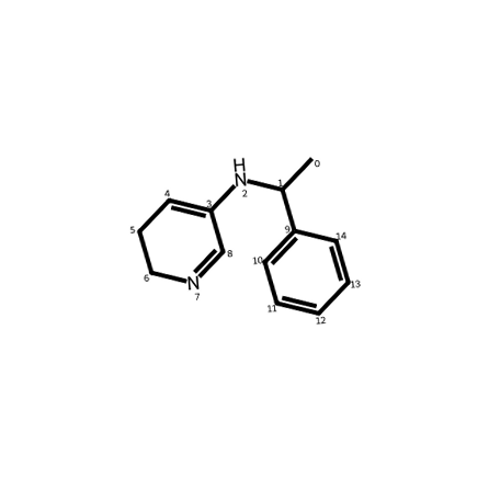 CC(NC1=CCCN=C1)c1ccccc1